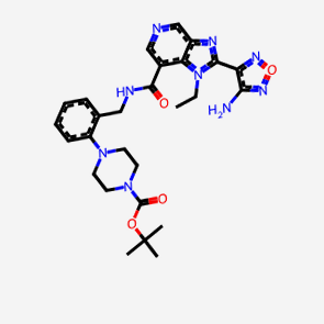 CCn1c(-c2nonc2N)nc2cncc(C(=O)NCc3ccccc3N3CCN(C(=O)OC(C)(C)C)CC3)c21